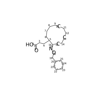 O=C(O)CCC1CCCCCCCCCCC1=NOCc1ccccc1